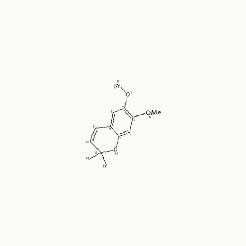 COc1cc2c(cc1OC(C)C)C=CC(C)(C)O2